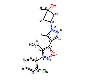 Cc1c(-c2onc(-c3ccccc3Cl)c2C(=O)O)cnn1C1CC(C)(O)C1